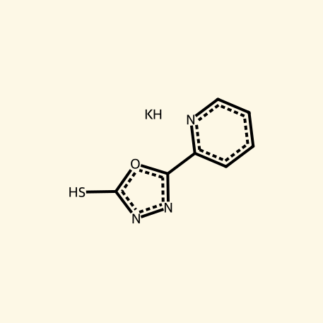 Sc1nnc(-c2ccccn2)o1.[KH]